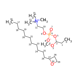 CCC(OC)OP(=O)([O-])OCC[N+](C)(C)C.CCCCCCCCCCCC1CCO1